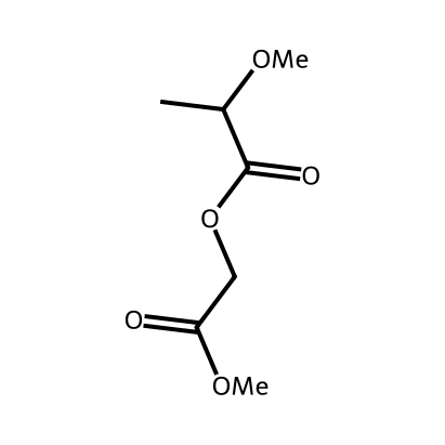 COC(=O)COC(=O)C(C)OC